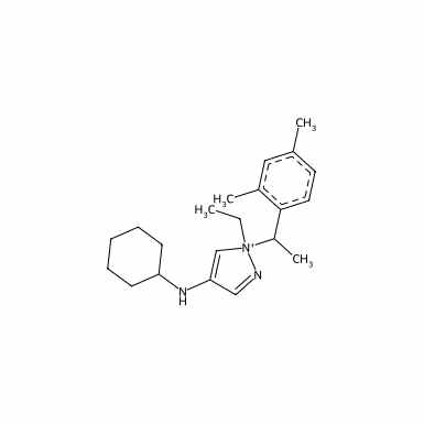 CC[N+]1(C(C)c2ccc(C)cc2C)C=C(NC2CCCCC2)C=N1